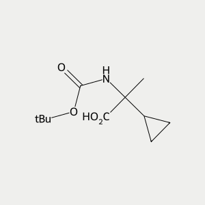 CC(C)(C)OC(=O)NC(C)(C(=O)O)C1CC1